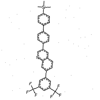 C[Si](C)(C)c1ccc(-c2ccc(-c3cnc4cc(-c5cc(C(F)(F)F)cc(C(F)(F)F)c5)ccc4c3)cc2)cc1